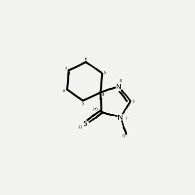 CN1C=NC2(CCCCC2)C1=S